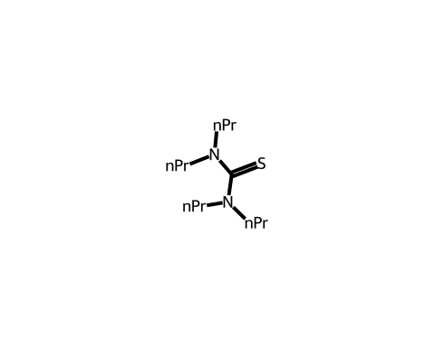 CCCN(CCC)C(=S)N(CCC)CCC